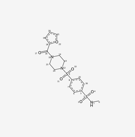 CNS(=O)(=O)c1ccc(S(=O)(=O)N2CCN(C(=O)c3ccco3)CC2)cc1